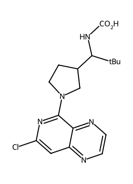 CC(C)(C)C(NC(=O)O)C1CCN(c2nc(Cl)cc3nccnc23)C1